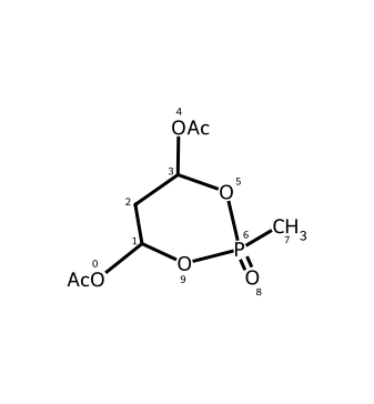 CC(=O)OC1CC(OC(C)=O)OP(C)(=O)O1